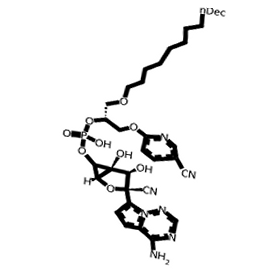 CCCCCCCCCCCCCCCCCCOC[C@H](COc1ccc(C#N)cn1)OP(=O)(O)OC1[C@H]2O[C@@](C#N)(c3ccc4c(N)ncnn34)[C@H](O)[C@@]12O